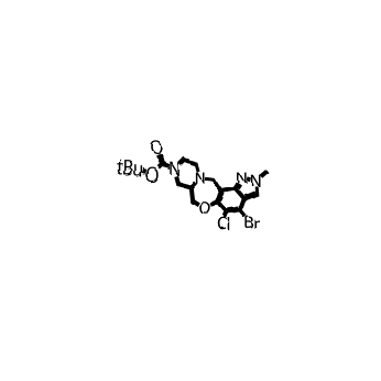 Cn1cc2c(Br)c(Cl)c3c(c2n1)CN1CCN(C(=O)OC(C)(C)C)CC1CO3